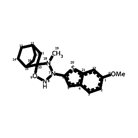 COc1ccc2cc(N3NOC4(CC5CCC4CC5)N3C)sc2c1